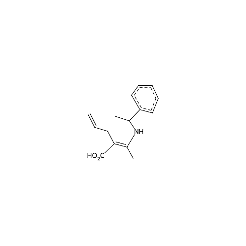 C=CCC(C(=O)O)=C(C)NC(C)c1ccccc1